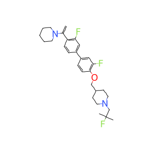 C=C(c1ccc(-c2ccc(OCC3CCN(CC(C)(C)F)CC3)c(F)c2)cc1F)N1CCCCC1